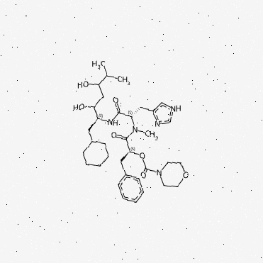 CC(C)C(O)CC(O)[C@H](CC1CCCCC1)NC(=O)[C@H](Cc1c[nH]cn1)N(C)C(=O)[C@H](Cc1ccccc1)OC(=O)N1CCOCC1